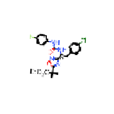 CCOC(=O)C(C)(C)c1nc([C@H](Cc2ccc(Cl)cc2)NC(=O)Nc2ccc(F)cc2)no1